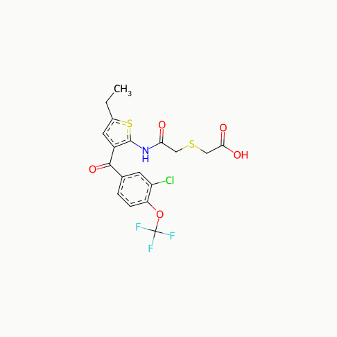 CCc1cc(C(=O)c2ccc(OC(F)(F)F)c(Cl)c2)c(NC(=O)CSCC(=O)O)s1